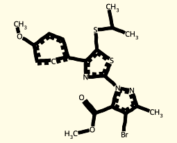 COC(=O)c1c(Br)c(C)nn1-c1nc(-c2ccc(OC)cc2)c(SC(C)C)s1